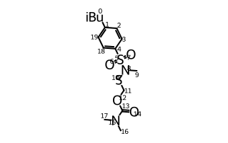 CCC(C)c1ccc(S(=O)(=O)N(C)SCOC(=O)N(C)C)cc1